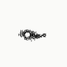 CC[C@H]1OC(=O)[C@H](C)C[C@H](C)[C@@H](O[C@@H]2O[C@H](C)C[C@H](N(C)CCn3cc(CCc4ccccc4)nn3)[C@H]2O)[C@](C)(O)C[C@@H](C)CN(C)[C@H](C)[C@@H](O)[C@]1(C)O